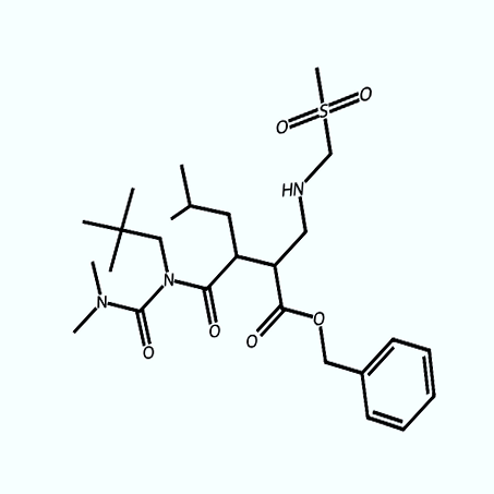 CC(C)CC(C(=O)N(CC(C)(C)C)C(=O)N(C)C)C(CNCS(C)(=O)=O)C(=O)OCc1ccccc1